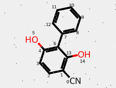 N#Cc1ccc(O)c(-c2ccccc2)c1O